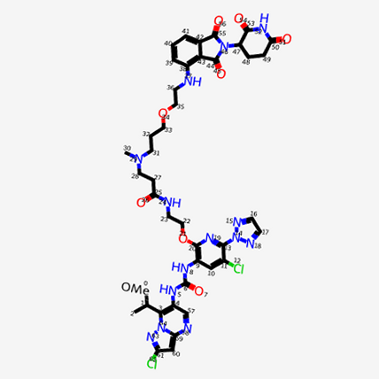 COC(C)c1c(NC(=O)Nc2cc(Cl)c(-n3nccn3)nc2OCCNC(=O)CCN(C)CCCOCCNc2cccc3c2C(=O)N(C2CCC(=O)NC2=O)C3=O)cnc2cc(Cl)nn12